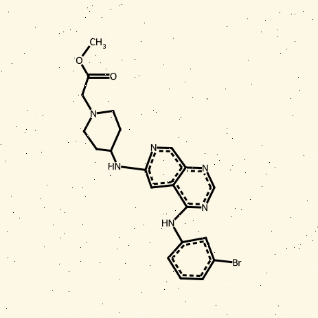 COC(=O)CN1CCC(Nc2cc3c(Nc4cccc(Br)c4)ncnc3cn2)CC1